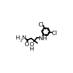 CC(O)(CNc1cc(Cl)cc(Cl)c1)CC(N)=O